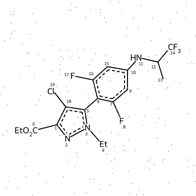 CCOC(=O)c1nn(CC)c(-c2c(F)cc(NC(C)C(F)(F)F)cc2F)c1Cl